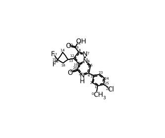 Cc1cc(-c2cn3nc(C(=O)O)c(C4CC(F)(F)C4)c3c(=O)[nH]2)ccc1Cl